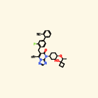 CCCc1c(Cc2ccc(-c3ccccc3C#N)cc2F)c(=O)n(C2CCC(OC(C)C3(O)CCC3)CC2)c2ncnn12